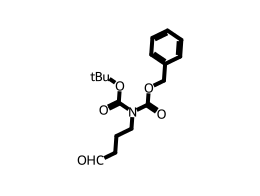 CC(C)(C)OC(=O)N(CCCC=O)C(=O)OCc1ccccc1